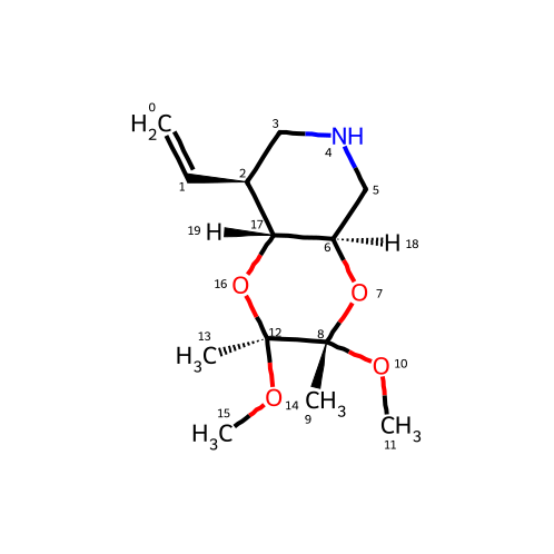 C=C[C@H]1CNC[C@H]2O[C@](C)(OC)[C@@](C)(OC)O[C@H]12